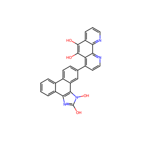 Oc1c(O)c2c(-c3ccc4c5ccccc5c5nc(O)n(O)c5c4c3)ccnc2c2ncccc12